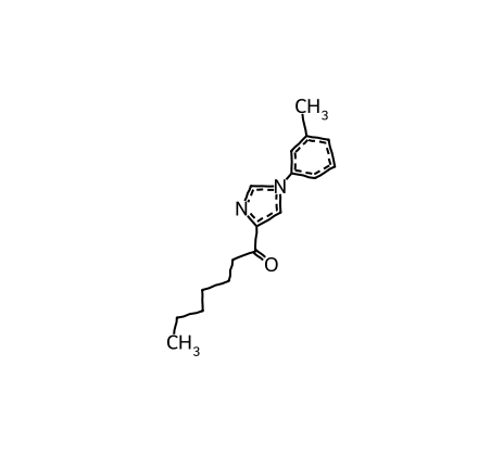 CCCCCCC(=O)c1cn(-c2cccc(C)c2)cn1